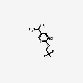 CC(N)c1ccc(OCC(F)(F)F)nc1.Cl